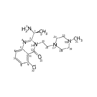 C[C@H](N)c1nc2cccc(Cl)c2c(=O)n1CCN1CCN(C)CC1